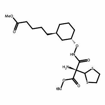 COC(=O)CCCC[C@H]1CCC[C@H](ONC(=O)[C@@](N)(C(=O)OC(C)(C)C)C2SCCS2)C1